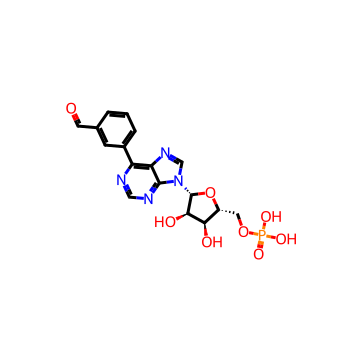 O=Cc1cccc(-c2ncnc3c2ncn3[C@@H]2O[C@H](COP(=O)(O)O)[C@@H](O)[C@H]2O)c1